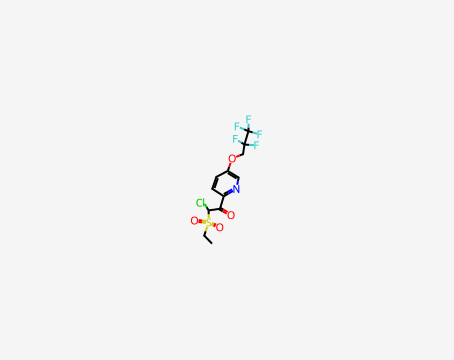 CCS(=O)(=O)C(Cl)C(=O)c1ccc(OCC(F)(F)C(F)(F)F)cn1